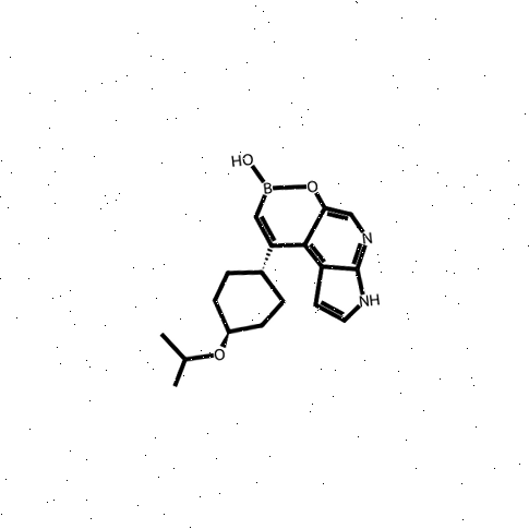 CC(C)O[C@H]1CC[C@H](C2=CB(O)Oc3cnc4[nH]ccc4c32)CC1